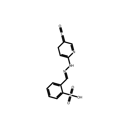 O=C=C1C=NC(NN=Cc2ccccc2S(=O)(=O)O)=CC1